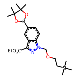 CCOC(=O)c1nn(COCC[Si](C)(C)C)c2ccc(B3OC(C)(C)C(C)(C)O3)cc12